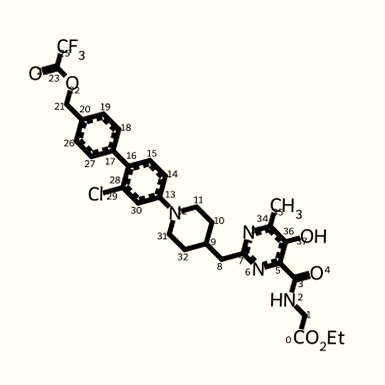 CCOC(=O)CNC(=O)c1nc(CC2CCN(c3ccc(-c4ccc(COC(=O)C(F)(F)F)cc4)c(Cl)c3)CC2)nc(C)c1O